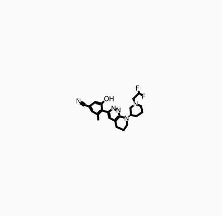 Cc1cc(C#N)cc(O)c1-c1cc2c(nn1)N([C@@H]1CCCN(CC(F)F)C1)CCC2